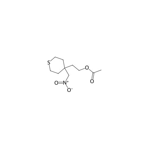 CC(=O)OCCC1(C[N+](=O)[O-])CCSCC1